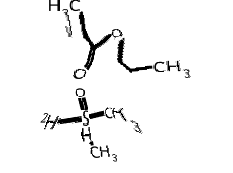 CCOC(C)=O.[2H][SH](C)(C)=O